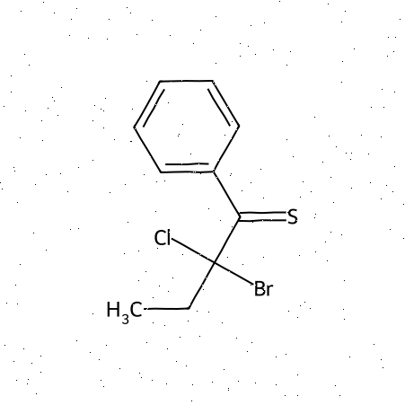 CCC(Cl)(Br)C(=S)c1ccccc1